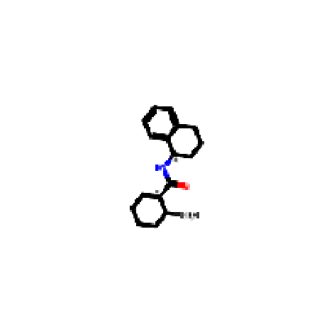 O=C(O)C1CCCC[C@H]1C(=O)N[C@@H]1CCCc2ccccc21